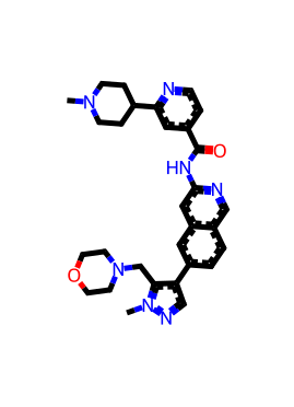 CN1CCC(c2cc(C(=O)Nc3cc4cc(-c5cnn(C)c5CN5CCOCC5)ccc4cn3)ccn2)CC1